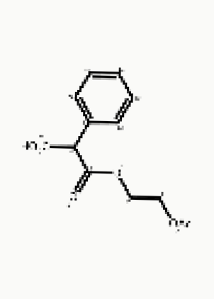 CC(=O)OCCOC(=O)C(C(=O)O)c1ccccc1